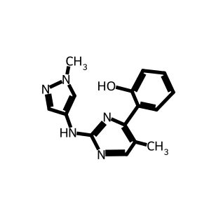 Cc1cnc(Nc2cnn(C)c2)nc1-c1ccccc1O